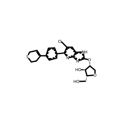 OC[C@H]1OC[C@@H](Oc2nc3nc(-c4ccc(C5=CCSCC5)cc4)c(Cl)cc3[nH]2)[C@@H]1O